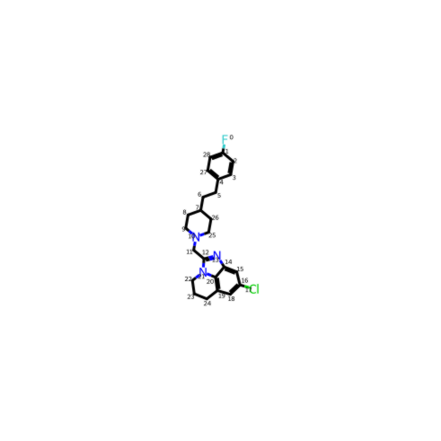 Fc1ccc(CCC2CCN(Cc3nc4cc(Cl)cc5c4n3CCC5)CC2)cc1